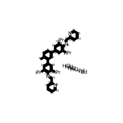 Cc1ccc(-c2cc(C(C)C)c(N=Cc3ccccn3)c(C(C)C)c2)cc1-c1cc(C(C)C)c(N=Cc2ccccn2)c(C(C)C)c1.Cl.Cl.Cl.Cl.[Pd].[Pd]